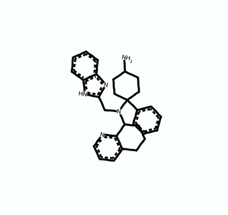 NC1CCC(c2ccccc2)(N(Cc2nc3ccccc3[nH]2)C2CCCc3cccnc32)CC1